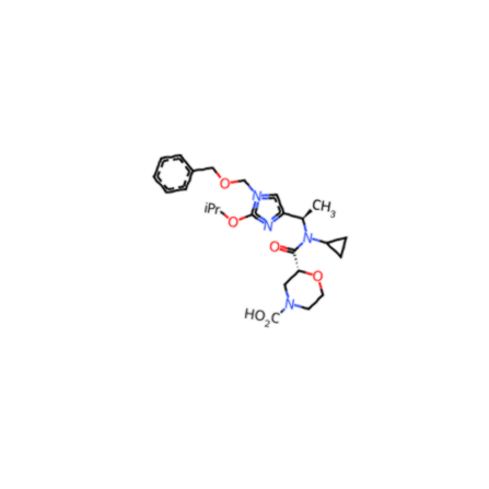 CC(C)Oc1nc([C@@H](C)N(C(=O)[C@H]2CN(C(=O)O)CCO2)C2CC2)cn1COCc1ccccc1